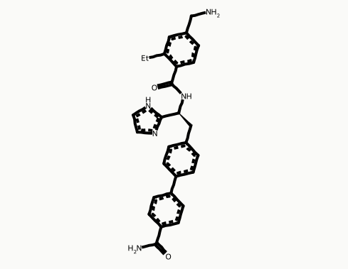 CCc1cc(CN)ccc1C(=O)N[C@@H](Cc1ccc(-c2ccc(C(N)=O)cc2)cc1)c1ncc[nH]1